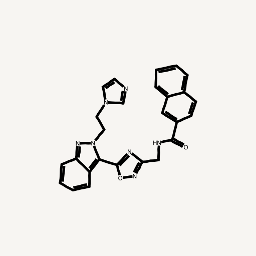 O=C(NCc1noc(-c2c3ccccc3nn2CCn2ccnc2)n1)c1ccc2ccccc2c1